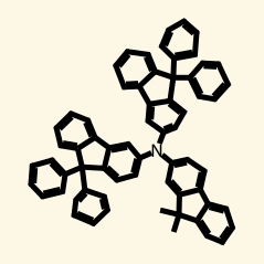 CC1(C)c2ccccc2-c2ccc(N(c3ccc4c(c3)-c3ccccc3C4(c3ccccc3)c3ccccc3)c3ccc4c(c3)-c3ccccc3C4(c3ccccc3)c3ccccc3)cc21